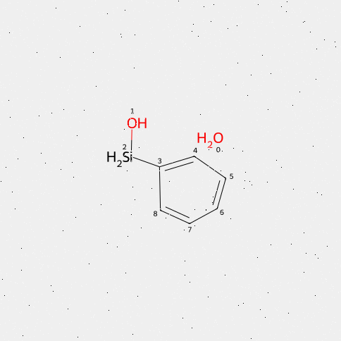 O.O[SiH2]c1ccccc1